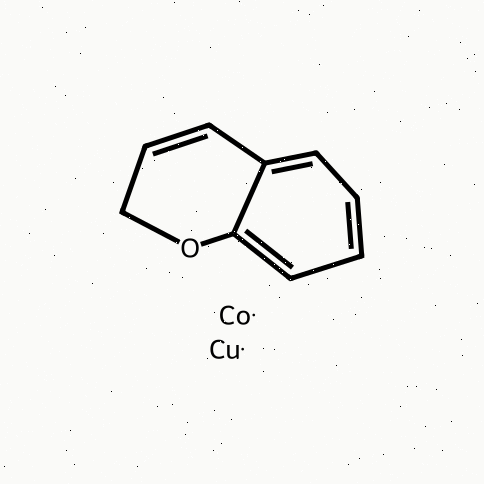 C1=Cc2ccccc2OC1.[Co].[Cu]